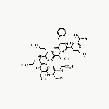 CC(C)C[C@H](NC(=O)[C@H](CO)NC(=O)[C@H](CCC(=O)O)NC(=O)[C@H](CCC(=O)O)NC(=O)[C@@H](NC(=O)[C@H](Cc1ccccc1)NC(=O)[C@H](CCC(=O)O)NC(=O)[C@@H](N)C(C)C)[C@@H](C)O)C(=O)NCC(=O)O